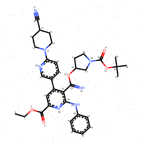 CCOC(=O)c1cc(-c2ccc(N3CCC(C#N)CC3)nc2)c(C(=N)OC2CCN(C(=O)OC(C)(C)C)C2)c(Nc2ccccc2)n1